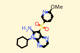 COc1ccc(S(=O)(=O)c2c(N)n(C3CCCCC3)c3nccnc23)cn1